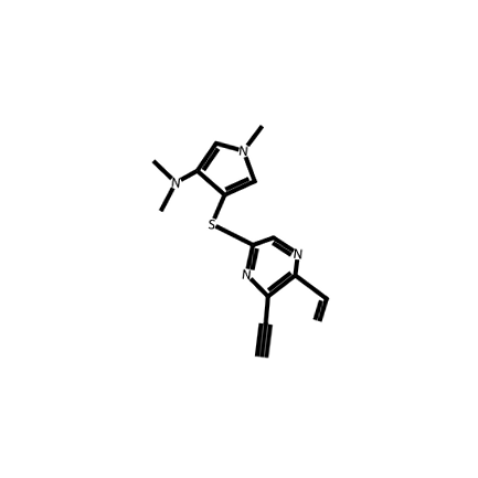 C#Cc1nc(Sc2cn(C)cc2N(C)C)cnc1C=C